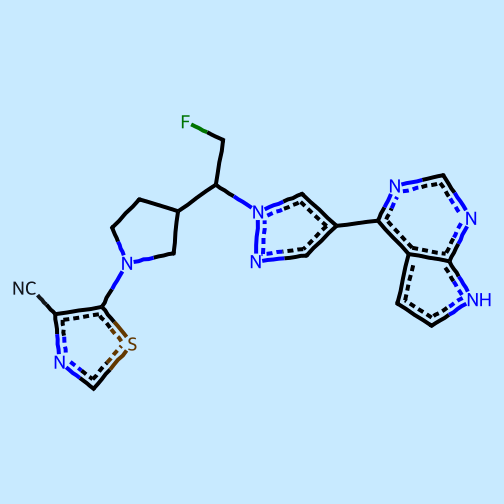 N#Cc1ncsc1N1CCC(C(CF)n2cc(-c3ncnc4[nH]ccc34)cn2)C1